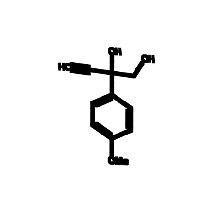 C#CC(O)(CO)c1ccc(OC)cc1